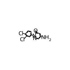 Nc1cnn(-c2ccc(Cl)c(Cl)c2)c(=O)c1